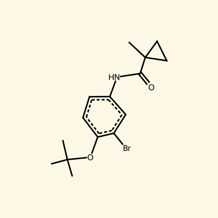 CC(C)(C)Oc1ccc(NC(=O)C2(C)CC2)cc1Br